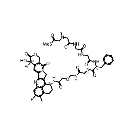 CC[C@@]1(O)C(=O)OCc2c1cc1n(c2=O)Cc2c-1nc1cc(F)c(C)c3c1c2[C@@H](NC(=O)COCNC(=O)CNC(=O)[C@H](Cc1ccccc1)NC(=O)CNC(=O)CNC(=O)CN(C)CC(=O)SC)CC3